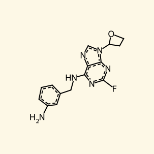 Nc1cccc(CNc2nc(F)nc3c2ncn3C2CCO2)c1